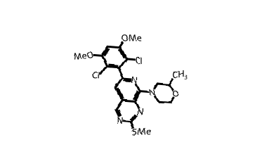 COc1cc(OC)c(Cl)c(-c2cc3cnc(SC)nc3c(N3CCOC(C)C3)n2)c1Cl